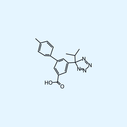 Cc1ccc(-c2cc(C(=O)O)cc(C3(C(C)C)N=NN=N3)c2)cc1